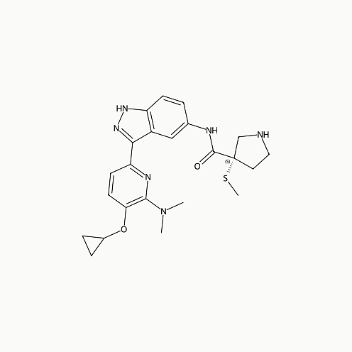 CS[C@@]1(C(=O)Nc2ccc3[nH]nc(-c4ccc(OC5CC5)c(N(C)C)n4)c3c2)CCNC1